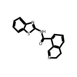 O=C(Nc1nc2ccccc2s1)c1cccc2c1C=NCC2